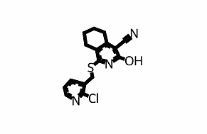 N#Cc1c(O)nc(SCc2cccnc2Cl)c2c1CCCC2